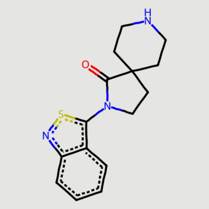 O=C1N(c2snc3ccccc23)CCC12CCNCC2